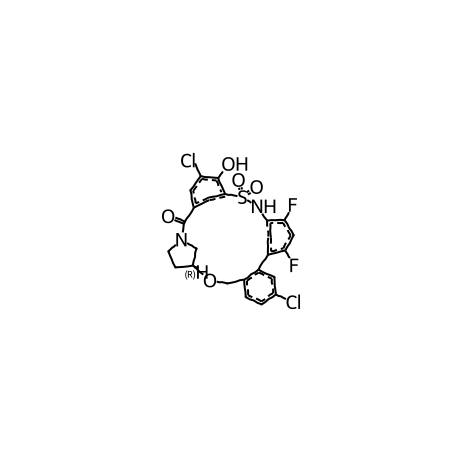 O=C1c2cc(Cl)c(O)c(c2)S(=O)(=O)Nc2cc(c(F)cc2F)-c2cc(Cl)ccc2CO[C@@H]2CCN1C2